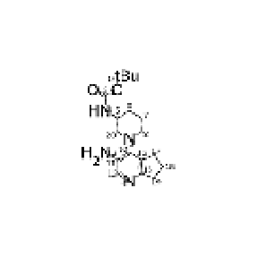 CC(C)(C)OC(=O)NC1CCCN(c2c(N)cnc3c2CCC3)C1